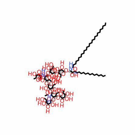 CCCCCCCCCCCCC/C=C/[C@@H](O)[C@H](CO[C@@H]1OC(CO)[C@@H](O[C@@H]2OC(CO)[C@H](O)[C@H](O[C@@H]3OC(CO)[C@@H](O[C@@H]4OC(CO)[C@H](O)[C@H](O[C@@H]5OC(CO)[C@@H](O[C@H]6OC(C)[C@@H](O)C(O)[C@@H]6O)[C@H](O[C@@H]6OC(CO)[C@H](O)[C@H](O)C6O)C5NC(C)=O)C4O)[C@H](O[C@H]4OC(C)[C@@H](O)C(O)[C@@H]4O)C3NC(C)=O)C2O)[C@H](O)C1O)NC(=O)CCCCCCCCCCCCCCCCCCCCCCCCC